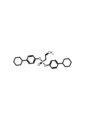 C=CCP(=O)(Oc1ccc(C2CCCCC2)cc1)Oc1ccc(C2CCCCC2)cc1